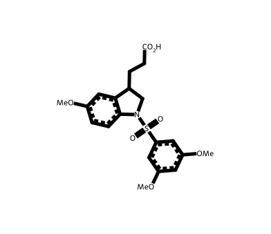 COc1cc(OC)cc(S(=O)(=O)N2CC(CCC(=O)O)c3cc(OC)ccc32)c1